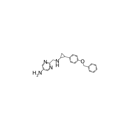 Nc1cnc(CNC2CC2c2ccc(OCc3ccccc3)cc2)nc1